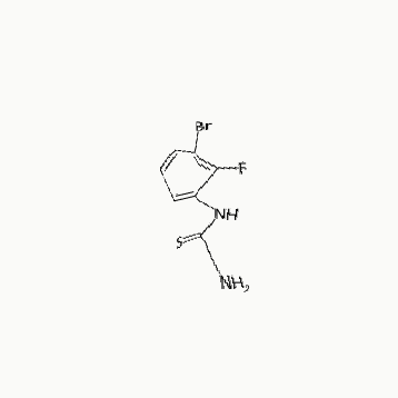 NC(=S)Nc1cccc(Br)c1F